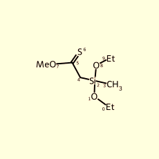 CCO[Si](C)(CC(=S)OC)OCC